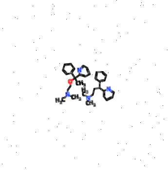 CN(C)CCC(c1ccccc1)c1ccccn1.CN(C)CCOC(C)(c1ccccc1)c1ccccn1